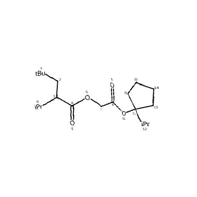 CC(C)C(CC(C)(C)C)C(=O)OCC(=O)OC1(C(C)C)CCCC1